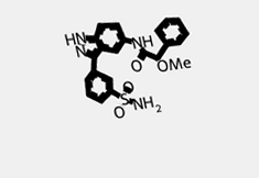 COC(C(=O)Nc1ccc2[nH]nc(-c3cccc(S(N)(=O)=O)c3)c2c1)c1ccccc1